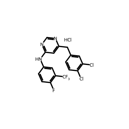 Cl.Fc1ccc(Nc2cc(Cc3ccc(Cl)c(Cl)c3)ncn2)cc1C(F)(F)F